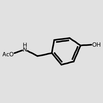 CC(=O)ONCc1ccc(O)cc1